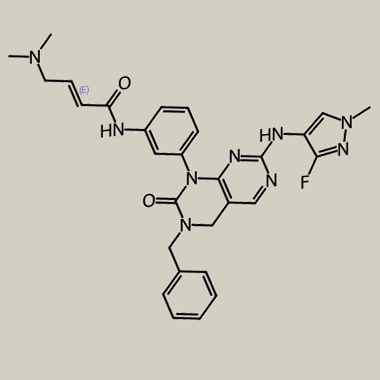 CN(C)C/C=C/C(=O)Nc1cccc(N2C(=O)N(Cc3ccccc3)Cc3cnc(Nc4cn(C)nc4F)nc32)c1